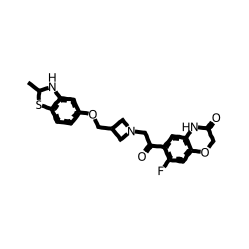 CC1Nc2cc(OCC3CN(CC(=O)c4cc5c(cc4F)OCC(=O)N5)C3)ccc2S1